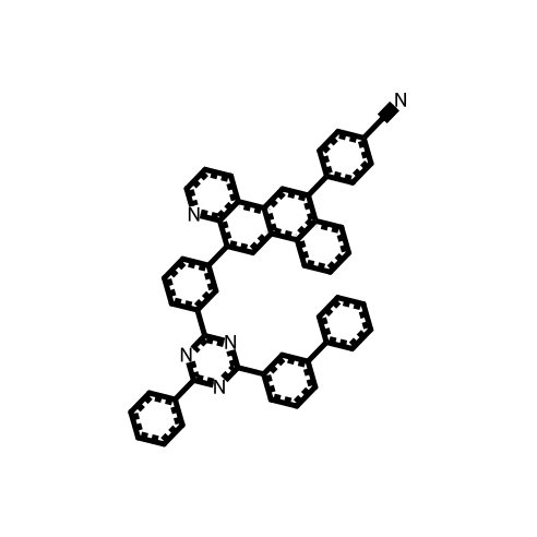 N#Cc1ccc(-c2cc3c4cccnc4c(-c4cccc(-c5nc(-c6ccccc6)nc(-c6cccc(-c7ccccc7)c6)n5)c4)cc3c3ccccc23)cc1